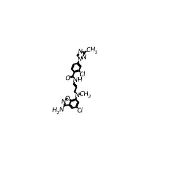 Cc1ncn(-c2ccc(C(=O)N/C=C/CN(C)c3cc(Cl)cc4c(N)noc34)c(Cl)c2)n1